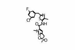 Cc1nc(Cc2cc(F)cc(Cl)c2)sc1NC(=O)c1cc(CS(C)(=O)=O)nn1C